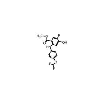 COC(=O)c1cc(F)c(O)cc1Nc1ccc(OC(F)F)cc1